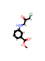 COC(=O)c1cccc(NCC(=O)CCl)c1